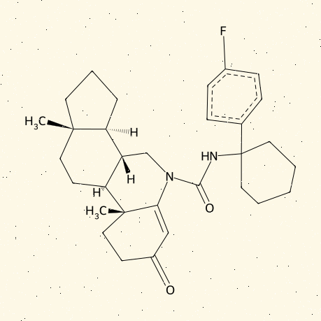 C[C@@]12CCC[C@H]1[C@@H]1CN(C(=O)NC3(c4ccc(F)cc4)CCCCC3)C3=CC(=O)CC[C@]3(C)[C@H]1CC2